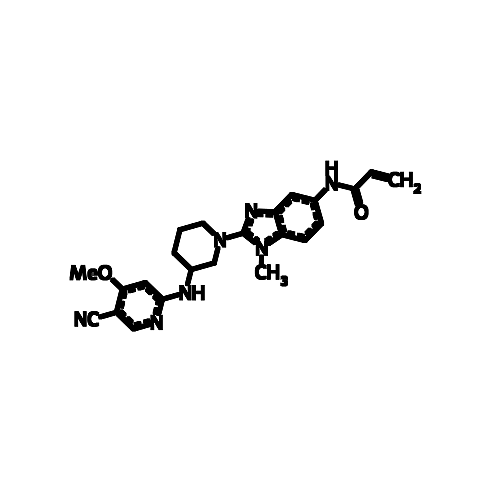 C=CC(=O)Nc1ccc2c(c1)nc(N1CCCC(Nc3cc(OC)c(C#N)cn3)C1)n2C